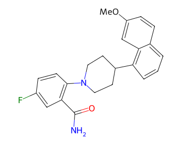 COc1ccc2cccc(C3CCN(c4ccc(F)cc4C(N)=O)CC3)c2c1